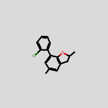 Cc1cc2c(c(-c3ccccc3Cl)c1)OC(C)C2